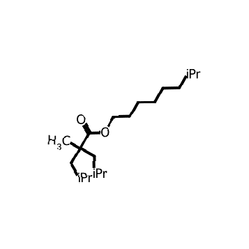 CC(C)CCCCCCOC(=O)C(C)(CC(C)C)CC(C)C